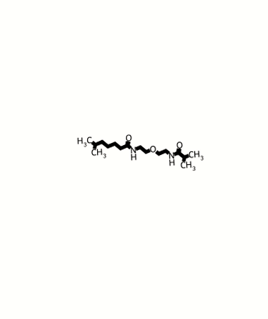 CC(C)CCCCC(=O)NCCOCCNC(=O)C(C)C